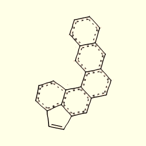 C1=Cc2cc3ccc4cc5ccccc5cc4c3c3cccc1c23